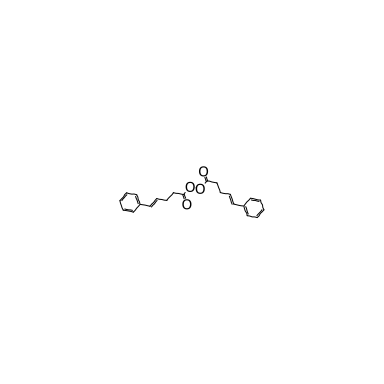 O=C(CC/C=C/c1ccccc1)OOC(=O)CC/C=C/c1ccccc1